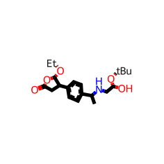 CCOC1OC(=O)CC1c1ccc(C(C)NCC(O)OC(C)(C)C)cc1